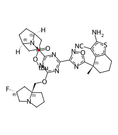 CC(C)(C)OC(=O)N1[C@@H]2CC[C@H]1CN(c1nc(OC[C@@]34CCCN3C[C@H](F)C4)nc(-c3noc([C@@]4(C)CCCc5sc(N)c(C#N)c54)n3)n1)C2